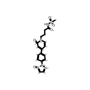 CS(=O)(=O)NC(=O)CCCn1ccc(-c2ccc(-n3ncc[n+]3[O-])cc2)cc1=O